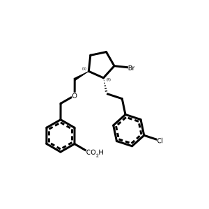 O=C(O)c1cccc(COC[C@H]2CCC(Br)[C@@H]2CCc2cccc(Cl)c2)c1